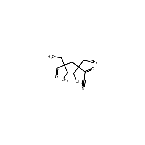 CCC(C=O)(CC)CC(CC)(CC)C(=O)C#N